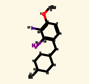 CCCCOc1ccc(CC2CCC(CC)CC2)c(P)c1I